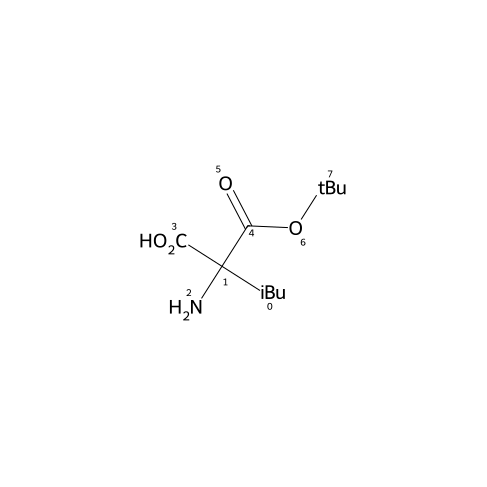 CCC(C)C(N)(C(=O)O)C(=O)OC(C)(C)C